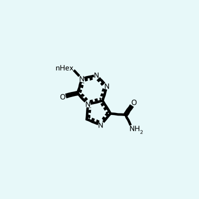 CCCCCCn1nnc2c(C(N)=O)ncn2c1=O